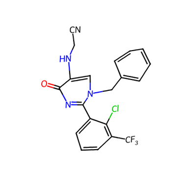 N#CCNc1cn(Cc2ccccc2)c(-c2cccc(C(F)(F)F)c2Cl)nc1=O